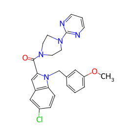 COc1cccc(Cn2c(C(=O)N3CCN(c4ncccn4)CC3)cc3cc(Cl)ccc32)c1